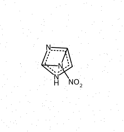 O=[N+]([O-])N1c2c[nH]c1n2